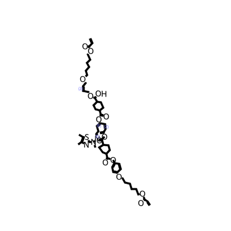 C=CC(=O)OCCCCCCOC/C=C\COC(O)C1CCC(C(=O)OC(/C=C\C(=C)OC(=O)C2CCC(C(=O)Oc3ccc(OCCCCCCOC(=O)C=C)cc3)CC2)=C/C/C=N/N(C)c2nc(C)c(C)s2)CC1